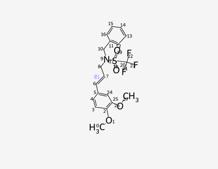 COc1ccc(/C=C/CN(Cc2ccccc2)S(=O)(=O)C(F)(F)F)cc1OC